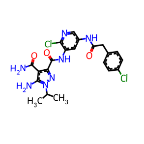 CC(C)n1nc(C(=O)Nc2cc(NC(=O)Cc3ccc(Cl)cc3)cnc2Cl)c(C(N)=O)c1N